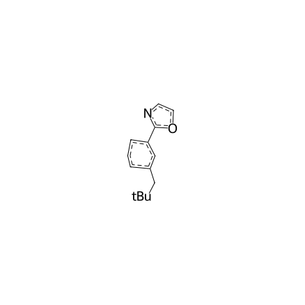 CC(C)(C)Cc1cccc(-c2ncco2)c1